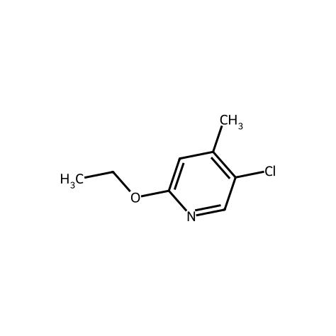 CCOc1cc(C)c(Cl)cn1